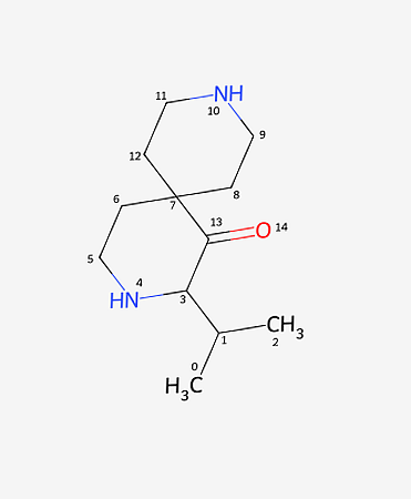 CC(C)C1NCCC2(CCNCC2)C1=O